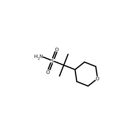 CC(C)(C1CCOCC1)S(N)(=O)=O